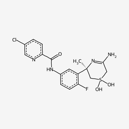 C[C@@]1(c2cc(NC(=O)c3ccc(Cl)cn3)ccc2F)CS(O)(O)CC(N)=N1